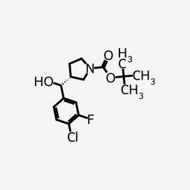 CC(C)(C)OC(=O)N1CC[C@@H](C(O)c2ccc(Cl)c(F)c2)C1